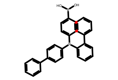 OB(O)c1ccc(N(c2ccc(-c3ccccc3)cc2)c2ccccc2-c2ccccc2)cc1